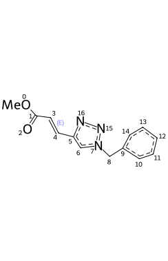 COC(=O)/C=C/c1cn(Cc2ccccc2)nn1